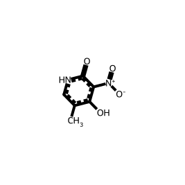 Cc1c[nH]c(=O)c([N+](=O)[O-])c1O